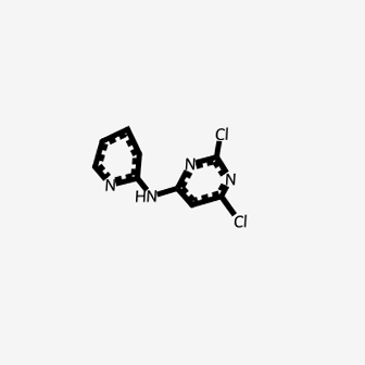 Clc1cc(Nc2ccccn2)nc(Cl)n1